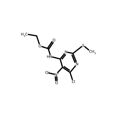 CCOC(=O)Nc1nc(SC)nc(Cl)c1[N+](=O)[O-]